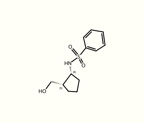 O=S(=O)(N[C@@H]1CCC[C@@H]1CO)c1ccccc1